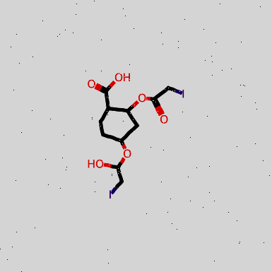 O=C(CI)OC1CC(OC(O)CI)CCC1C(=O)O